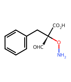 NO[C@](C=O)(Cc1ccccc1)C(=O)O